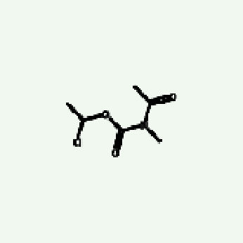 CC(=O)N(C)C(=O)OC(C)Cl